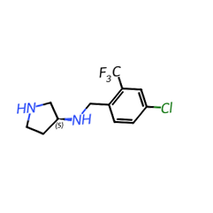 FC(F)(F)c1cc(Cl)ccc1CN[C@H]1CCNC1